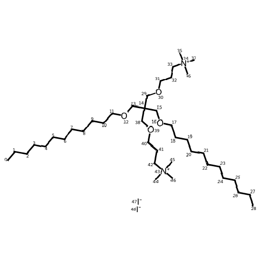 CCCCCCCCCCCCOCC(COCCCCCCCCCCCC)(COCCC[N+](C)(C)C)COCCC[N+](C)(C)C.[I-].[I-]